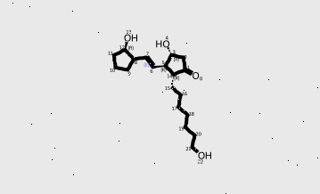 O=C1C[C@@H](O)[C@H](/C=C/C2CCC[C@H]2O)[C@H]1CCCCCCCO